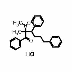 CN(C)C(C)(C(=O)c1ccccc1)C(CCCc1ccccc1)c1ccccc1.Cl